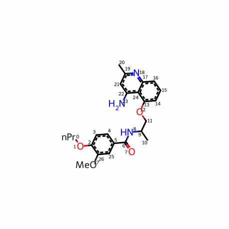 CCCOc1ccc(C(=O)NC(C)COc2cccc3nc(C)cc(N)c23)cc1OC